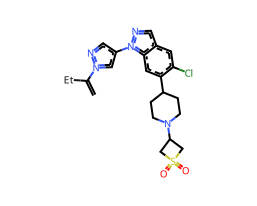 C=C(CC)n1cc(-n2ncc3cc(Cl)c(C4CCN(C5CS(=O)(=O)C5)CC4)cc32)cn1